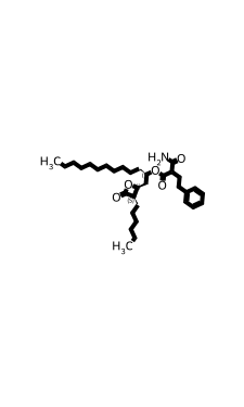 CCCCCCCCCCC[C@@H](C[C@@H]1OC(=O)[C@H]1CCCCCC)OC(=O)C(CCc1ccccc1)C(N)=O